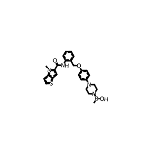 CB(O)N1CCN(c2ccc(OCc3ccccc3NC(=O)c3cc4sccc4n3C)cc2)CC1